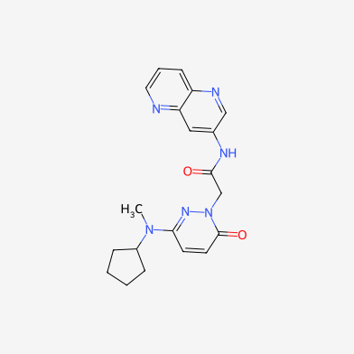 CN(c1ccc(=O)n(CC(=O)Nc2cnc3cccnc3c2)n1)C1CCCC1